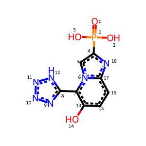 O=P(O)(O)c1cn2c(-c3nnn[nH]3)c(O)ccc2n1